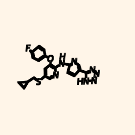 Fc1ccc(Oc2cc(SCC3CC3)cnc2Nc2ccc(-c3nnn[nH]3)cn2)cc1